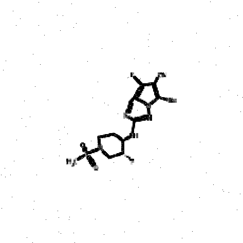 CCC(C)c1c(C#N)c(F)c2cnc(N[C@@H]3CCN(S(C)(=O)=O)C[C@H]3F)nn12